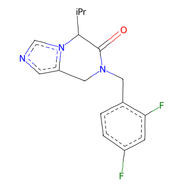 CC(C)C1C(=O)N(Cc2ccc(F)cc2F)Cc2cncn21